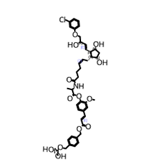 COc1cc(/C=C/C(=O)OCc2ccc(CON(O)O)cc2)ccc1OC(=O)C(C)NC(=O)CCC/C=C\C[C@@H]1[C@@H](/C=C/[C@@H](O)COc2cccc(Cl)c2)[C@H](O)C[C@@H]1O